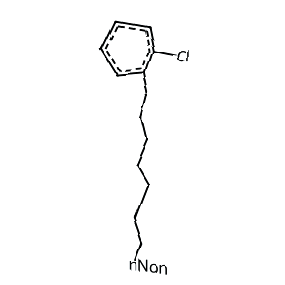 CCCCCCCCCCCCCCCCc1ccccc1Cl